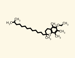 CCOc1c(C)c(C)c2c(c1C)CC[C@@](C)(CCCCCCCCCCCC(C)C)O2